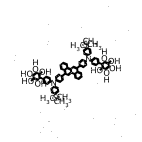 C[Si](C)(C)c1ccc(N(c2ccc(-c3c(O)c(O)c(O)c(O)c3O)cc2)c2ccc(-c3cc4c5ccccc5c(-c5ccc(N(c6ccc(-c7c(O)c(O)c(O)c(O)c7O)cc6)c6ccc([Si](C)(C)C)cc6)cc5)cc4c4ccccc34)cc2)cc1